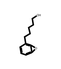 OCCCCCc1cccc2c1O2